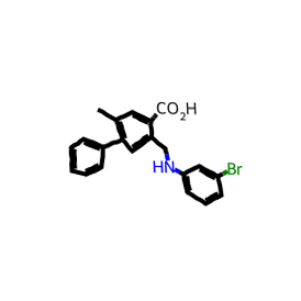 Cc1cc(C(=O)O)c(CNc2cccc(Br)c2)cc1-c1ccccc1